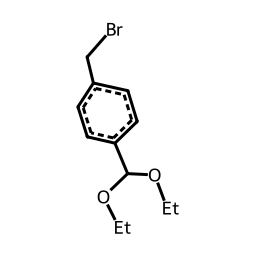 CCOC(OCC)c1ccc(CBr)cc1